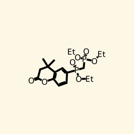 CCOP(=O)(CP(=O)(OCC)c1ccc2c(c1)C(C)(C)CC(=O)O2)OCC